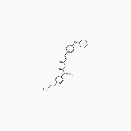 C=CCc1ccc(C(=C)C(=O)CC(=O)C=Cc2ccc(OC3CCCCC3)cc2)cc1